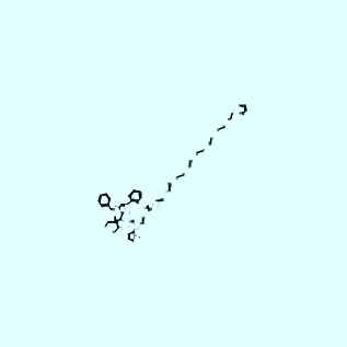 C[C@@H](COC(=O)NCCOCCOCCOCCOCCOCCOCCOCCN1C(=O)C=CC1=O)NC(=O)N(C[C@@H]1CNC[C@@H]1F)[C@@H](c1nc(-c2cc(F)ccc2F)cn1Cc1ccccc1)C1(C)CCOCC1